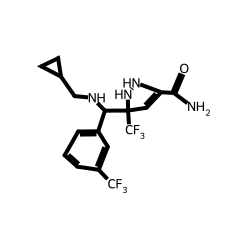 NC(=O)C1=CC(C(NCC2CC2)c2cccc(C(F)(F)F)c2)(C(F)(F)F)NN1